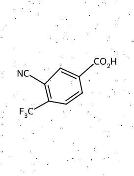 N#Cc1cc(C(=O)O)ccc1C(F)(F)F